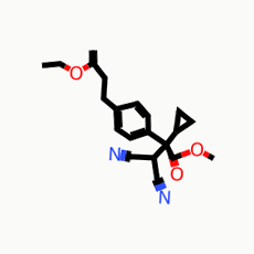 C=C(CCc1ccc(C(C(=O)OC)(C(C#N)C#N)C2CC2)cc1)OCC